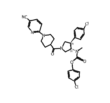 CN(C(=O)Oc1ccc(Cl)cc1)[C@@H]1CN(C(=O)C2CCN(c3ccc(C#N)cn3)CC2)C[C@H]1c1ccc(Cl)cc1